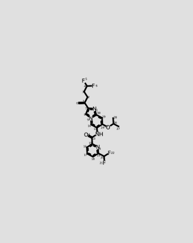 C=C(CCC(F)F)c1cn2cc(NC(=O)c3cccc(C(F)F)n3)c(OC(C)C)cc2n1